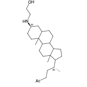 CC(=O)CC[C@@H](C)C1CCC2C3CCC4C[C@H](NCCO)CCC4(C)C3CCC21C